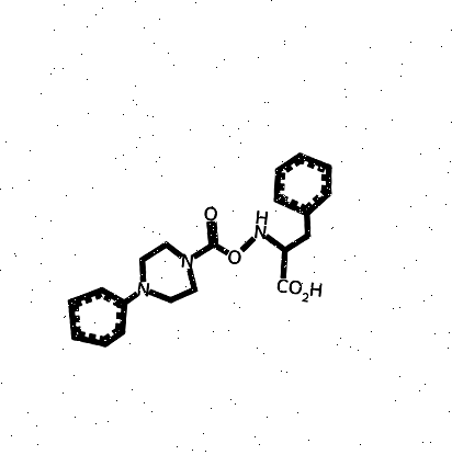 O=C(O)C(Cc1ccccc1)NOC(=O)N1CCN(c2ccccc2)CC1